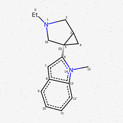 CCN1CC2C[C@@]2(c2cc3ccccc3n2C)C1